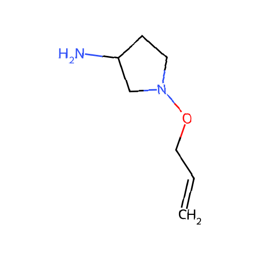 C=CCON1CCC(N)C1